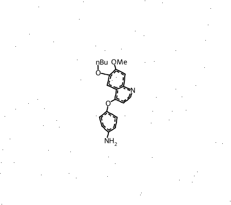 CCCCOc1cc2c(Oc3ccc(N)cc3)ccnc2cc1OC